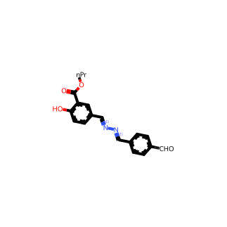 CCCOC(=O)c1cc(/C=N/N=C/c2ccc(C=O)cc2)ccc1O